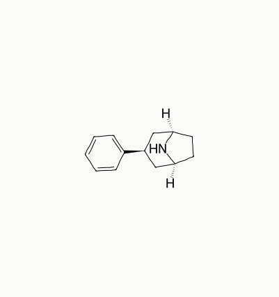 c1ccc([C@H]2C[C@H]3CC[C@@H](C2)N3)cc1